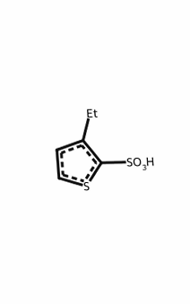 CCc1ccsc1S(=O)(=O)O